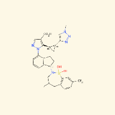 CC1Cc2ccc(C(F)(F)F)cc2S(O)(O)N([C@H]2CCc3c2cccc3-n2ncc(C(=O)O)c2[C@@H]2C[C@H]2c2cn(C)nn2)C1